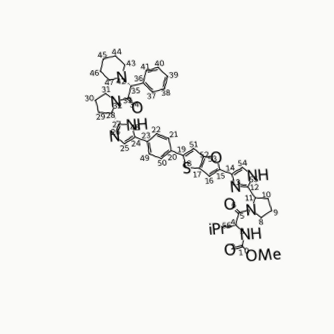 COC(=O)N[C@H](C(=O)N1CCCC1c1nc(-c2cc3sc(-c4ccc(-c5cnc([C@@H]6CCCN6C(=O)[C@@H](c6ccccc6)N6CCCCC6)[nH]5)cc4)cc3o2)c[nH]1)C(C)C